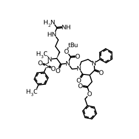 Cc1ccc(S(=O)(=O)N(C)[C@@H](CCCNC(=N)N)C(=O)N(CN2CCN(c3ccccc3)C(=O)C(CC(=O)OCc3ccccc3)C2=O)C(=O)OC(C)(C)C)cc1